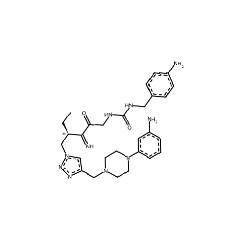 CC[C@H](Cn1cc(CN2CCN(c3cccc(N)c3)CC2)nn1)C(=N)C(=O)CNC(=O)NCc1ccc(N)cc1